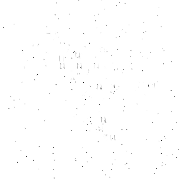 C=CCN1CC(=O)N2C(Cc3ccc(O)cc3)C(=O)N(Cc3cccc4cn(C)nc34)CC2N1C(=O)NCc1ccccc1